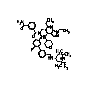 CCc1nc2c(cnn2CC)c(NC2CCOCC2)c1CN(Cc1ccc(F)c(-c2cccc(CNC3CC(C)(C)NC(C)(C)C3)c2)c1)C(=O)c1cccc(C(N)=O)c1